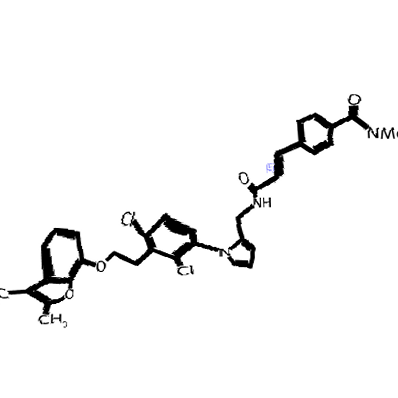 CNC(=O)c1ccc(/C=C/C(=O)NCc2cccn2-c2ccc(Cl)c(CCOc3cccc4c(C)c(C)oc34)c2Cl)cc1